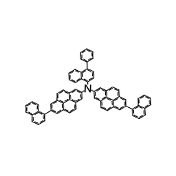 c1ccc(-c2ccc(N(c3cc4ccc5cc(-c6cccc7ccccc67)cc6ccc(c3)c4c56)c3cc4ccc5cc(-c6cccc7ccccc67)cc6ccc(c3)c4c56)c3ccccc23)cc1